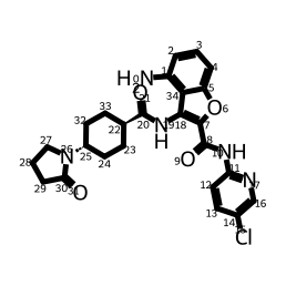 Nc1cccc2oc(C(=O)Nc3ccc(Cl)cn3)c(NC(=O)[C@H]3CC[C@H](N4CCCC4=O)CC3)c12